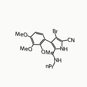 CCCNCc1[nH]c(C#N)c(Br)c1-c1ccc(OC)c(OC)c1OC